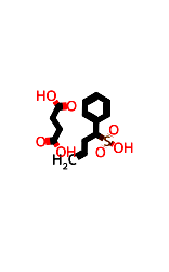 C=CCC(c1ccccc1)S(=O)(=O)O.O=C(O)CCC(=O)O